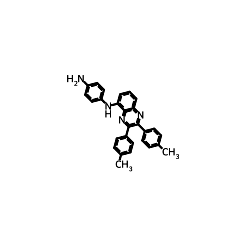 Cc1ccc(-c2nc3cccc(Nc4ccc(N)cc4)c3nc2-c2ccc(C)cc2)cc1